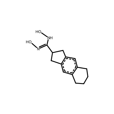 ON=C(NO)C1Cc2cc3c(cc2C1)CCCC3